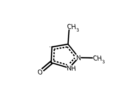 Cc1[c]c(=O)[nH]n1C